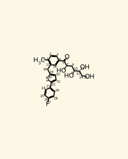 Cc1ccc(C(=O)[C@H](O)C[C@H](O)[C@H](O)CO)cc1Cc1ccc(-c2ccc(F)cc2)s1